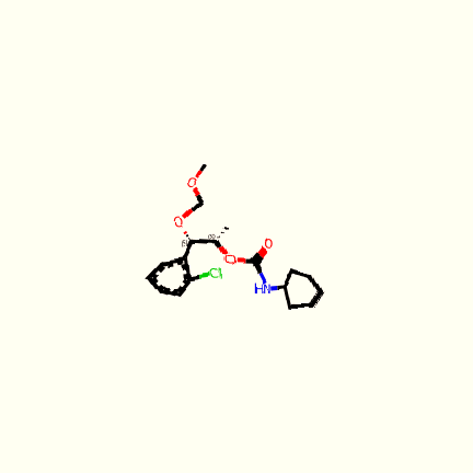 COCO[C@@H](c1ccccc1Cl)[C@H](C)OC(=O)NC1CCCCC1